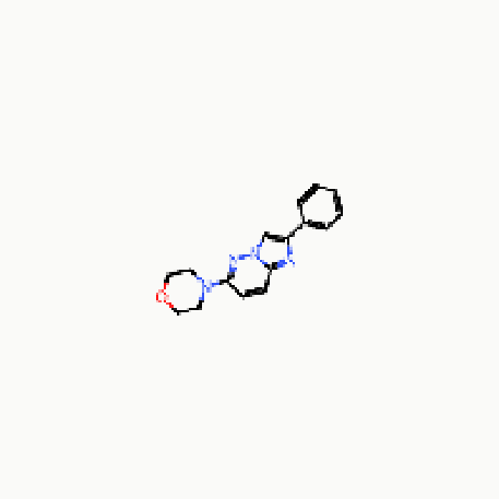 c1ccc(-c2cn3nc(N4CCOCC4)ccc3n2)cc1